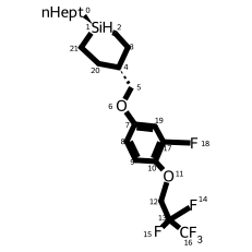 CCCCCCC[Si@H]1CC[C@H](COc2ccc(OCC(F)(F)C(F)(F)F)c(F)c2)CC1